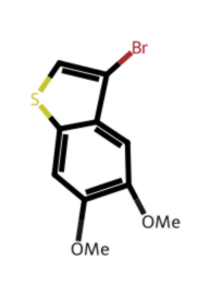 COc1cc2scc(Br)c2cc1OC